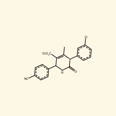 CCOC(=O)C1=C(C)N(c2cccc(Cl)c2)C(=O)NC1c1ccc(C#N)cc1